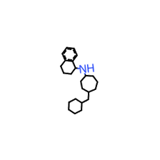 c1ccc2c(c1)CCCC2NC1CCCC(CC2CCCCC2)CC1